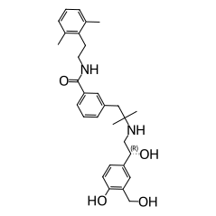 Cc1cccc(C)c1CCNC(=O)c1cccc(CC(C)(C)NC[C@H](O)c2ccc(O)c(CO)c2)c1